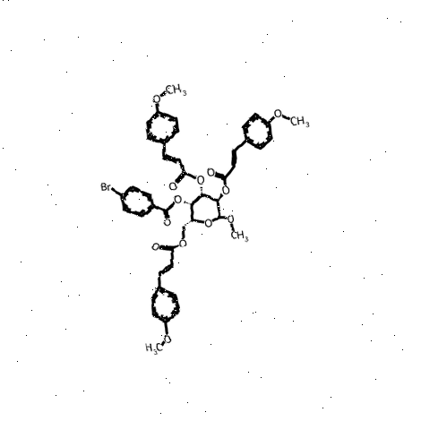 COc1ccc(C=CC(=O)OC[C@H]2OC(OC)[C@H](OC(=O)C=Cc3ccc(OC)cc3)[C@@H](OC(=O)C=Cc3ccc(OC)cc3)[C@H]2OC(=O)c2ccc(Br)cc2)cc1